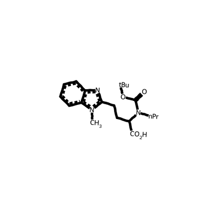 CCCN(C(=O)OC(C)(C)C)C(CCc1nc2ccccc2n1C)C(=O)O